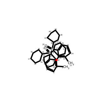 Cc1cccc(P(=O)(C2CCCCC2)C2CCCCC2)c1-c1c(C)cccc1P(=O)(C1CCCCC1)C1CCCCC1